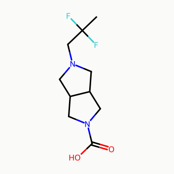 CC(F)(F)CN1CC2CN(C(=O)O)CC2C1